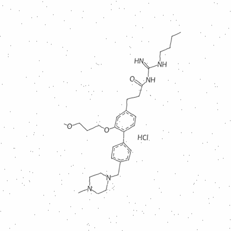 CCCCNC(=N)NC(=O)CCc1ccc(-c2ccc(CN3CCN(C)CC3)cc2)c(OCCCOC)c1.Cl